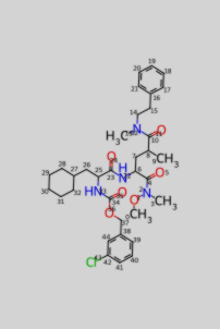 CON(C)C(=O)C(CC(C)C(=O)N(C)CCc1ccccc1)NC(=O)C(CC1CCCCC1)NC(=O)OCc1cccc(Cl)c1